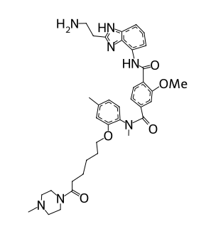 COc1cc(C(=O)N(C)c2ccc(C)cc2OCCCCCC(=O)N2CCN(C)CC2)ccc1C(=O)Nc1cccc2[nH]c(CCN)nc12